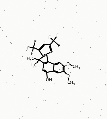 COc1cc2c(O)cc3c(c2cc1OC)-c1cc(C(F)(F)F)cc(C(F)(F)F)c1C3(C)C